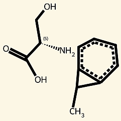 CC1c2ccccc21.N[C@@H](CO)C(=O)O